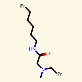 CC(C)CCCCCNC(=O)CN(C)CC(C)C